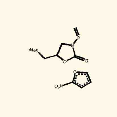 C=NN1CC(CSC)OC1=O.O=[N+]([O-])c1ccco1